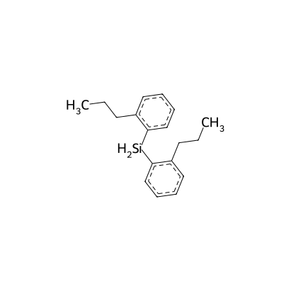 CCCc1ccccc1[SiH2]c1ccccc1CCC